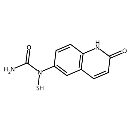 NC(=O)N(S)c1ccc2[nH]c(=O)ccc2c1